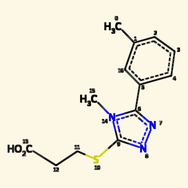 Cc1cccc(-c2nnc(SCCC(=O)O)n2C)c1